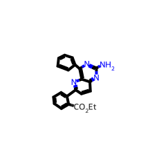 CCOC(=O)c1ccccc1-c1ccc2nc(N)nc(-c3ccccc3)c2n1